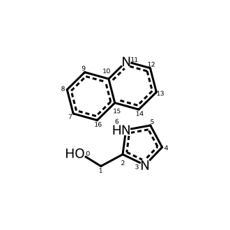 OCc1ncc[nH]1.c1ccc2ncccc2c1